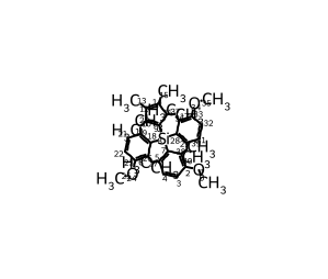 COc1ccc(C)c([Si](C2=C(C)C(C)=C(C)C2C)(c2c(C)ccc(OC)c2C)c2c(C)ccc(OC)c2C)c1C